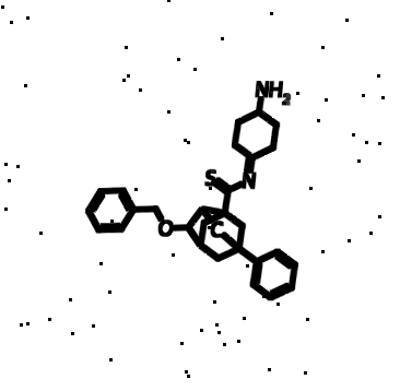 NC1CCC(=NC(=S)C23CC4CC(c5ccccc5)(CC2C4OCc2ccccc2)C3)CC1